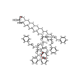 CCCCCCCCCCCCCC[C@@H](OCc1ccccc1)[C@@H](OCc1ccccc1)[C@H](CO[C@H]1O[C@H](COCc2ccccc2)[C@H](OCc2ccccc2)[C@H](OCc2ccccc2)[C@H]1OCc1ccccc1)NC(=O)CCCCCCCCCNC(=O)O